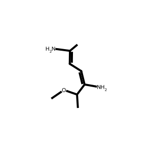 COC(C)/C(N)=C\C=C(/C)N